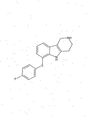 Fc1ccc(Sc2cccc3c4c([nH]c23)CCNC4)cc1